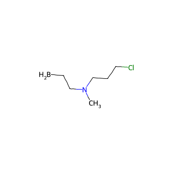 BCCN(C)CCCCl